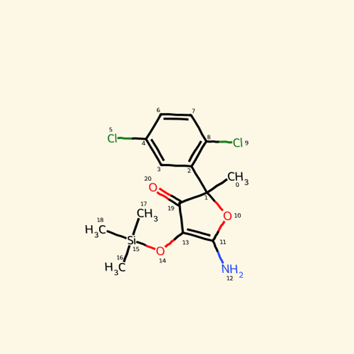 CC1(c2cc(Cl)ccc2Cl)OC(N)=C(O[Si](C)(C)C)C1=O